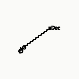 CCCCCCCCCCCCCCCCCCCCCCCCCCCCOCN1CCCCC1